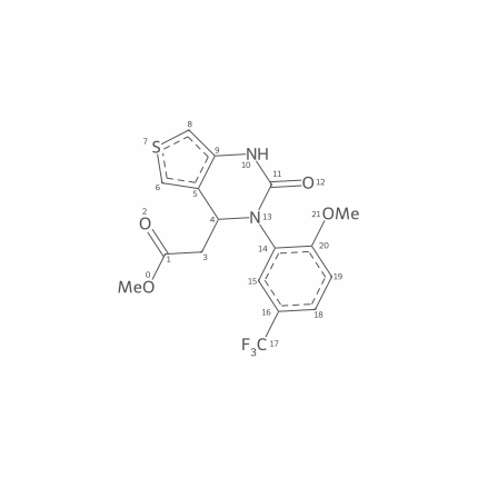 COC(=O)CC1c2cscc2NC(=O)N1c1cc(C(F)(F)F)ccc1OC